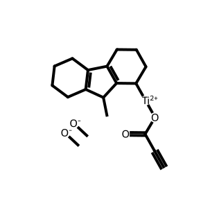 C#CC(=O)[O][Ti+2][CH]1CCCC2=C1C(C)C1=C2CCCC1.C[O-].C[O-]